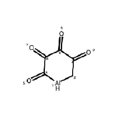 O=C1[CH2][AlH][C](=O)C(=O)C1=O